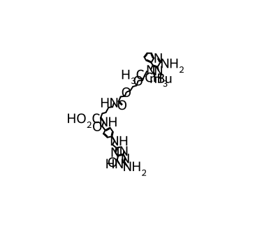 CCCCc1nc2c(N)nc3ccccc3c2n1CC(C)(C)COCCCOCCC(=O)NCCCCC(NC(=O)c1ccc(NCc2cnc3nc(N)[nH]c(=O)c3n2)cc1)C(=O)O